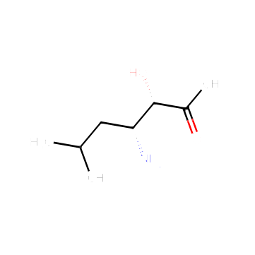 CC(=O)[C@@H](O)[C@H](N)CC(C)C